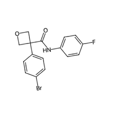 O=C(Nc1ccc(F)cc1)C1(c2ccc(Br)cc2)COC1